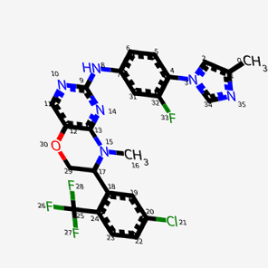 Cc1cn(-c2ccc(Nc3ncc4c(n3)N(C)C(c3cc(Cl)ccc3C(F)(F)F)CO4)cc2F)cn1